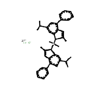 CC1=Cc2c(-c3ccccc3)cc(C(C)C)cc2C1[Si](C)(C)C1C(C)=Cc2c(-c3ccccc3)cc(C(C)C)cc21.[Cl-].[Cl-].[Zr+2]